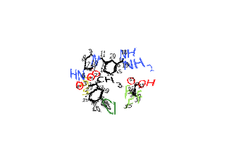 Cc1c(S(=O)(=O)N[C@H]2CCN(Cc3cccc(C(=N)N)c3)C2=O)sc2ccc(Cl)cc12.O=C(O)C(F)(F)F